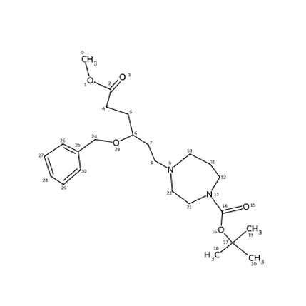 COC(=O)CCC(CCN1CCCN(C(=O)OC(C)(C)C)CC1)OCc1ccccc1